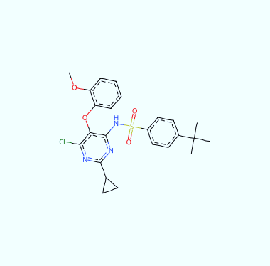 COc1ccccc1Oc1c(Cl)nc(C2CC2)nc1NS(=O)(=O)c1ccc(C(C)(C)C)cc1